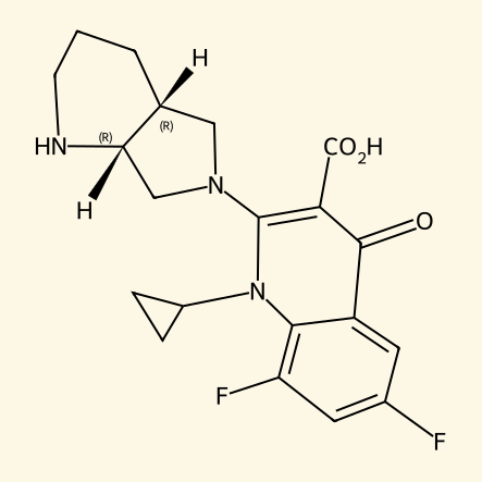 O=C(O)c1c(N2C[C@H]3CCCN[C@H]3C2)n(C2CC2)c2c(F)cc(F)cc2c1=O